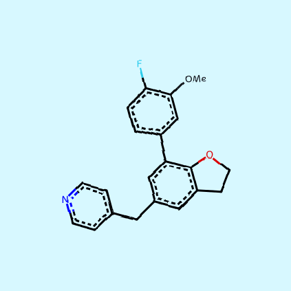 COc1cc(-c2cc(Cc3ccncc3)cc3c2OCC3)ccc1F